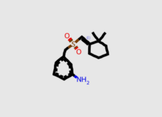 CC1(C)CCCC/C1=C\S(=O)(=O)Cc1cccc(N)c1